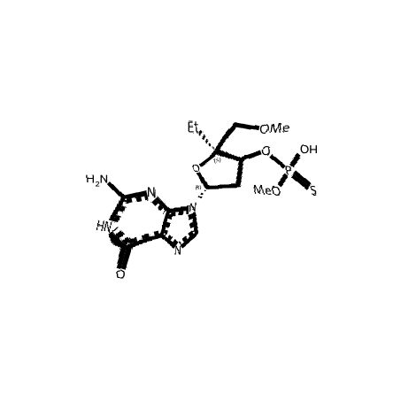 CC[C@@]1(COC)O[C@@H](n2cnc3c(=O)[nH]c(N)nc32)CC1OP(O)(=S)OC